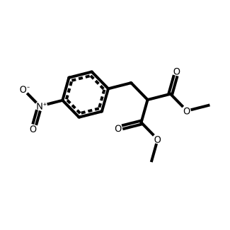 COC(=O)C(Cc1ccc([N+](=O)[O-])cc1)C(=O)OC